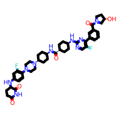 O=C1CCC(Nc2ccc(N3CCN([C@H]4CC[C@H](NC(=O)[C@H]5CC[C@H](Nc6ncc(F)c(-c7cccc(C(=O)N8CC[C@H](O)C8)c7)n6)CC5)CC4)CC3)c(F)c2)C(=O)N1